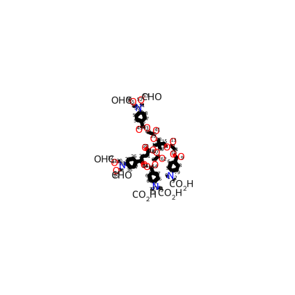 CN(CC(=O)O)c1ccc(C(=O)OCC(=O)OCC(COC(=O)CCC(=O)c2ccc(N(COC=O)COC=O)cc2)(COC(=O)COC(=O)c2ccc(N(COC=O)COC=O)cc2)COC(=O)COC(=O)c2ccc(N(CC(=O)O)CC(=O)O)cc2)cc1